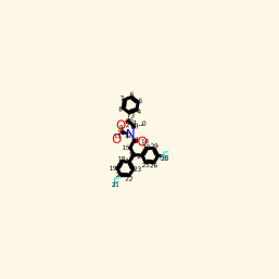 C[C@H]1[C@@H](c2ccccc2)OC(=O)N1C(=O)CC(c1ccc(F)cc1)c1ccc(F)cc1